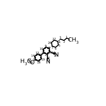 CCCC[C@H]1CC[C@H](c2ccc(-c3ccc(OC)cc3)c(C#N)c2C#N)CC1